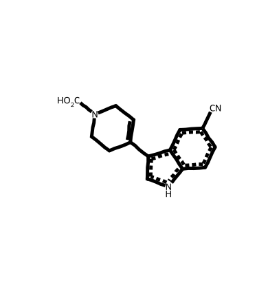 N#Cc1ccc2[nH]cc(C3=CCN(C(=O)O)CC3)c2c1